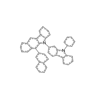 c1ccc(-n2c3ccccc3c3ccc(-n4c5ccccc5c5cc6ccccc6c(-c6ccc7ccccc7c6)c54)cc32)cc1